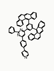 c1ccc(-c2nc(-c3ccc(-c4ccncc4)cc3)cc(-c3cc(-c4c5ccccc5cc5ccc6ccccc6c45)cc(-c4c5ccccc5cc5ccc6ccccc6c45)c3)n2)cc1